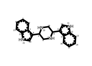 c1ccc2c(C3CNC(c4c[nH]c5ccccc45)CN3)c[nH]c2c1